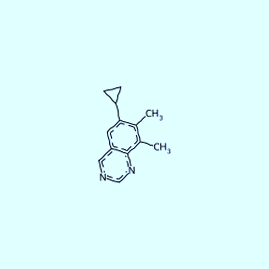 Cc1c(C2CC2)cc2cncnc2c1C